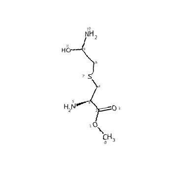 COC(=O)[C@@H](N)CSCC(N)O